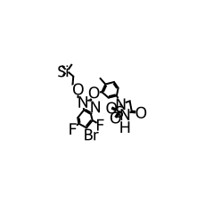 Cc1ccc(N2CC(=O)NS2(=O)=O)cc1Oc1nc2c(F)c(Br)c(F)cc2n1COCC[Si](C)(C)C